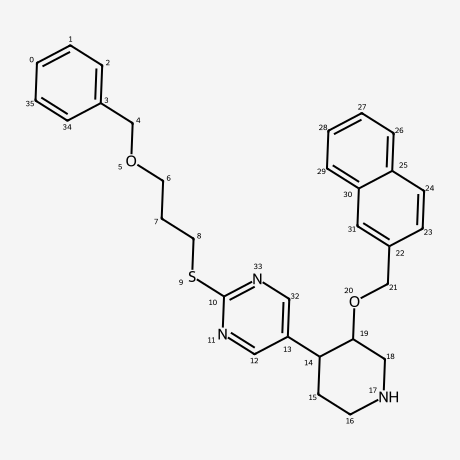 c1ccc(COCCCSc2ncc(C3CCNCC3OCc3ccc4ccccc4c3)cn2)cc1